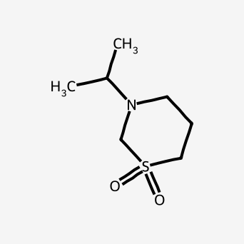 CC(C)N1CCCS(=O)(=O)C1